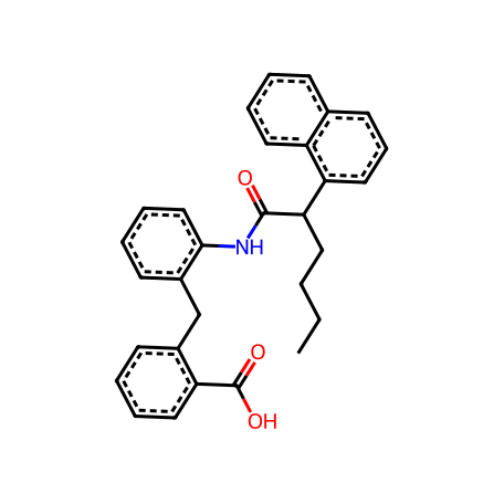 CCCCC(C(=O)Nc1ccccc1Cc1ccccc1C(=O)O)c1cccc2ccccc12